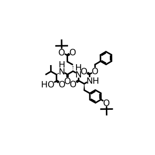 CC(C)[C@H](NC(=O)[C@H](CCC(=O)OC(C)(C)C)NC(=O)[C@H](Cc1ccc(OC(C)(C)C)cc1)NC(=O)OCc1ccccc1)C(=O)O